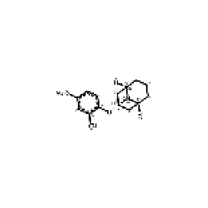 COc1ccc(O[C@H]2C[C@H]3CCC[C@@H](C2)N3O)c(C#N)c1